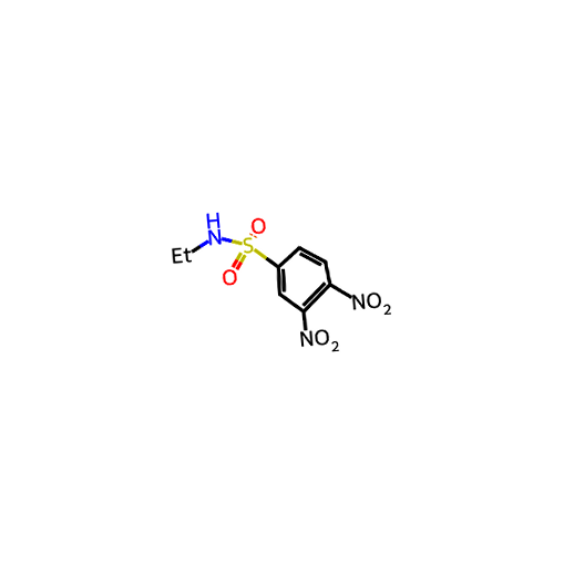 [CH2]CNS(=O)(=O)c1ccc([N+](=O)[O-])c([N+](=O)[O-])c1